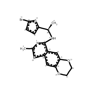 Cc1nc(N[C@H](C)c2ccc(Br)s2)c2cc3c(cc2n1)OCCO3